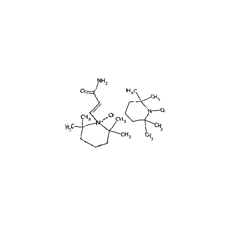 CC1(C)CCCC(C)(C)N1[O].CC1(C)CCCC(C)(C)[N+]1([O])C=CC(N)=O